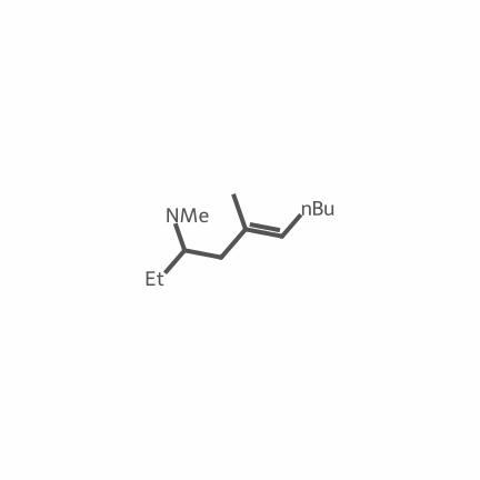 CCCC/C=C(\C)CC(CC)NC